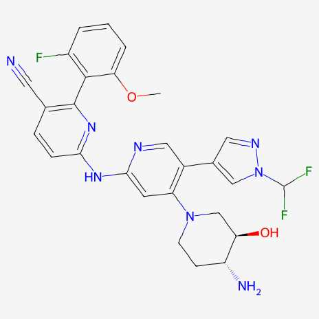 COc1cccc(F)c1-c1nc(Nc2cc(N3CC[C@@H](N)[C@H](O)C3)c(-c3cnn(C(F)F)c3)cn2)ccc1C#N